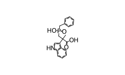 CC(CP(=O)(O)Cc1ccccc1)(C(=O)O)c1c[nH]c2ccccc12